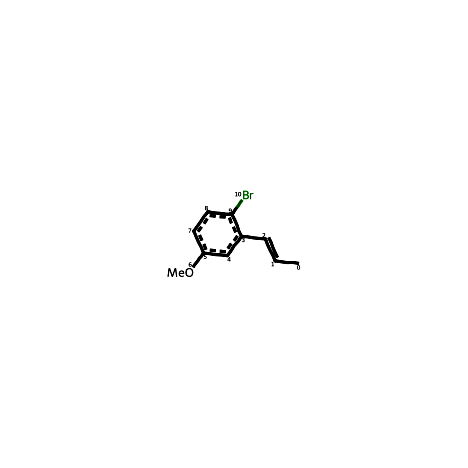 C/C=C/c1cc(OC)ccc1Br